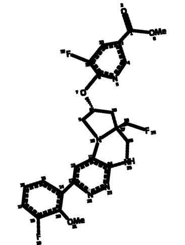 COC(=O)c1cnc(O[C@H]2CN3c4cc(-c5cccc(F)c5OC)nnc4NC[C@@]3(CF)C2)c(F)c1